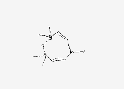 C[Si]1(C)/C=C\P(I)/C=C\[Si](C)(C)O1